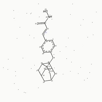 O=C(/C=C/c1ccc(CN2CC3CC4CC(C3)CC2C4)cc1)NO